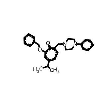 CC(C)c1ccc(CN2CCN(c3ccccc3)CC2)c(=O)c(OCc2ccccc2)c1